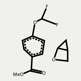 C1OC2CC12.COC(=O)c1ccc(OC(F)F)cc1